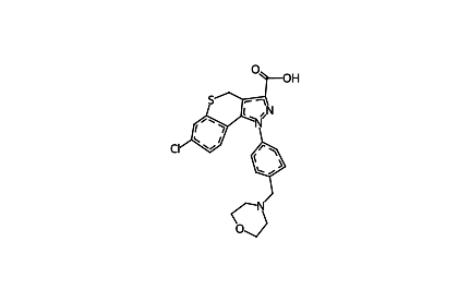 O=C(O)c1nn(-c2ccc(CN3CCOCC3)cc2)c2c1CSc1cc(Cl)ccc1-2